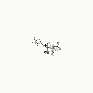 CN(CCCC(C)(C)C)c1c(NC(C)(C)C)c(=S)c1=S